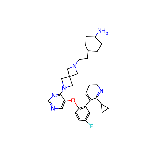 NC1CCC(CCN2CC3(C2)CN(c2ncncc2Oc2ccc(F)cc2-c2cccnc2C2CC2)C3)CC1